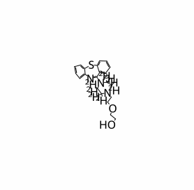 [2H]C1([2H])N(CCOCCO)C([2H])([2H])C([2H])([2H])N(C2=Nc3ccccc3Sc3ccccc32)C1([2H])[2H]